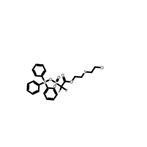 O=C(OCCSCCCl)C(F)(F)S(=O)(=O)OS(c1ccccc1)(c1ccccc1)c1ccccc1